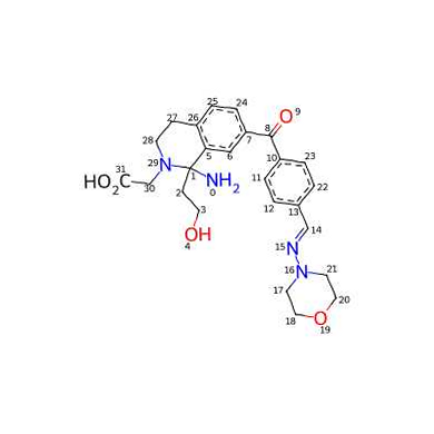 NC1(CCO)c2cc(C(=O)c3ccc(C=NN4CCOCC4)cc3)ccc2CCN1CC(=O)O